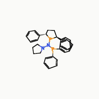 c1ccc([C@@H]2CC[C@@H](c3ccccc3)P2N(N2CCCC2)P(c2ccccc2)c2ccccc2)cc1